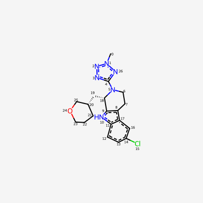 Cn1nnc(N2CCc3c([nH]c4ccc(Cl)cc34)[C@@H]2C[C@@H]2CCCOC2)n1